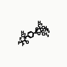 CN(C(=O)C(F)(F)F)c1ccc(B2OC(C)(C)C(C)(C)O2)cc1